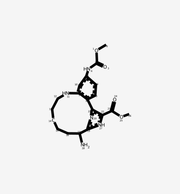 COC(=O)Nc1ccc2c(c1)NCCCCCC(N)c1nc-2c(C(=O)OC)[nH]1